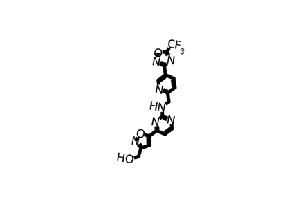 OCc1cc(-c2ccnc(NCc3ccc(-c4noc(C(F)(F)F)n4)cn3)n2)on1